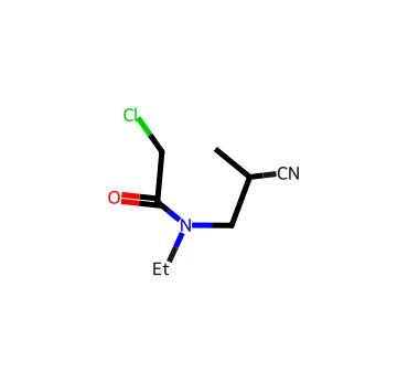 CCN(CC(C)C#N)C(=O)CCl